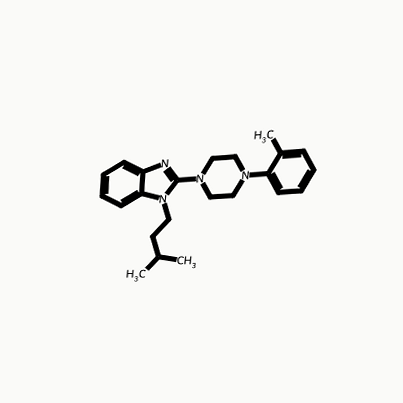 Cc1ccccc1N1CCN(c2nc3ccccc3n2CCC(C)C)CC1